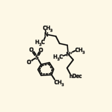 CCCCCCCCCCCC[N+](C)(C)CCCN(C)C.Cc1ccc(S(=O)(=O)[O-])cc1